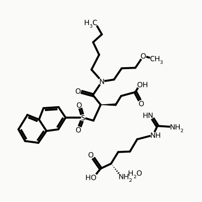 CCCCCN(CCCOC)C(=O)[C@@H](CCC(=O)O)CS(=O)(=O)c1ccc2ccccc2c1.N=C(N)NCCC[C@H](N)C(=O)O.O